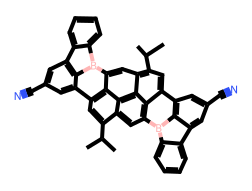 CC(C)c1cc2c3c(cc4c(C(C)C)cc5c6c(cc1c3c46)B1c3ccccc3-c3cc(C#N)cc-5c31)B1c3ccccc3-c3cc(C#N)cc-2c31